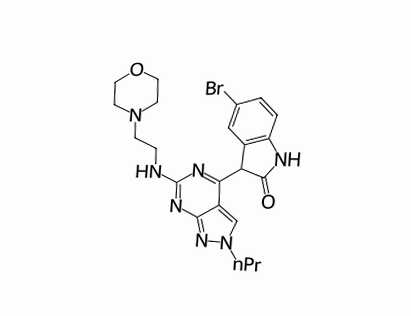 CCCn1cc2c(C3C(=O)Nc4ccc(Br)cc43)nc(NCCN3CCOCC3)nc2n1